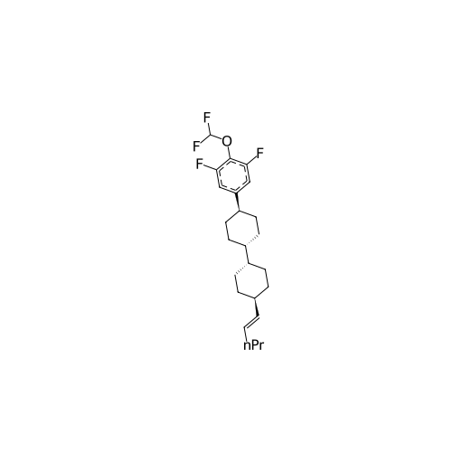 CCC/C=C/[C@H]1CC[C@H]([C@H]2CC[C@H](c3cc(F)c(OC(F)F)c(F)c3)CC2)CC1